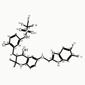 CC1(C)Oc2ccc(OCc3nc4cc(F)c(F)cc4s3)cc2C(O)C1Cc1cc(NS(=O)(=O)C(F)(F)F)ccc1Cl